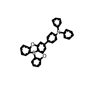 c1ccc(N(c2ccccc2)c2ccc(-c3cc4c5c(c3)Oc3ccccc3B5c3ccccc3O4)cc2)cc1